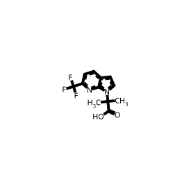 CC(C)(C(=O)O)n1ccc2ccc(C(F)(F)F)nc21